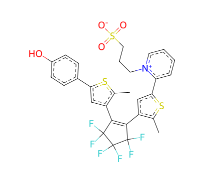 Cc1sc(-c2ccc(O)cc2)cc1C1=C(c2cc(-c3cccc[n+]3CCCS(=O)(=O)[O-])sc2C)C(F)(F)C(F)(F)C1(F)F